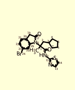 CC(CC1CCCC1)(C(=O)Nc1nccs1)N1C(=O)Cc2ccc(Br)cc21